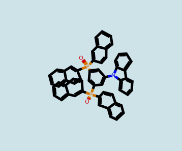 O=P(c1cc(-n2c3ccccc3c3ccccc32)cc(P(=O)(c2ccc3ccccc3c2)c2ccc3ccccc3c2)c1)(c1ccc2ccccc2c1)c1ccc2ccccc2c1